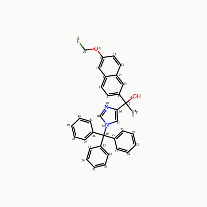 CC(C)C(O)(c1ccc2cc(OCF)ccc2c1)c1cn(C(c2ccccc2)(c2ccccc2)c2ccccc2)cn1